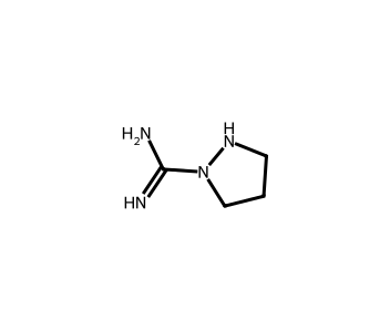 N=C(N)N1CCCN1